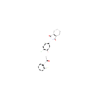 O=C(COc1cc(N2C(=O)C3=C(CCCC3)C2=O)c(F)cc1Cl)c1ccccc1F